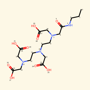 CC[CH]NC(=O)CN(CCN(CCN(CC(=O)O)CC(=O)O)CC(=O)O)CC(=O)O